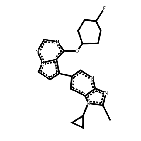 Cc1nc2ncc(-c3ccn4ncnc(OC5CCC(F)CC5)c34)cc2n1C1CC1